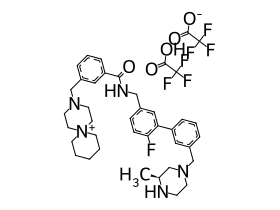 C[C@H]1CN(Cc2cccc(-c3cc(CNC(=O)c4cccc(CN5CC[N+]6(CCCCC6)CC5)c4)ccc3F)c2)CCN1.O=C(O)C(F)(F)F.O=C([O-])C(F)(F)F